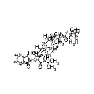 CC(C)C1=C2[C@H]3CC[C@@H]4[C@@]5(C)CCC(OC(=O)CC(C)(C)C(=O)O)C(C)(C)[C@@H]5CC[C@@]4(C)[C@]3(C)CC[C@@]2([C@@H](O)CN2Cc3ccccc3C2=O)CC1=O